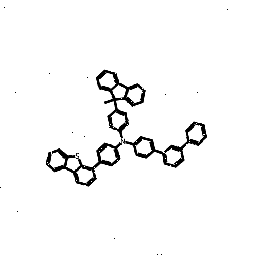 CC1(c2ccc(N(c3ccc(-c4cccc(-c5ccccc5)c4)cc3)c3ccc(-c4cccc5c4sc4ccccc45)cc3)cc2)c2ccccc2-c2ccccc21